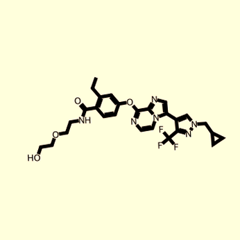 CCc1cc(Oc2nccn3c(-c4cn(CC5CC5)nc4C(F)(F)F)cnc23)ccc1C(=O)NCCOCCO